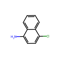 Nc1ccc(Cl)c2ccccc12